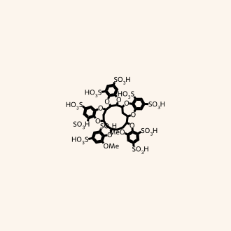 COc1cc(S(=O)(=O)O)cc(S(=O)(=O)O)c1OC1CCC(Oc2c(OC)cc(S(=O)(=O)O)cc2S(=O)(=O)O)C2CC(Oc3c(cc(S(=O)(=O)O)cc3S(=O)(=O)O)O2)C2Oc3cc(S(=O)(=O)O)cc(S(=O)(=O)O)c3OC2C2CC(C1)Oc1c(cc(S(=O)(=O)O)cc1S(=O)(=O)O)O2